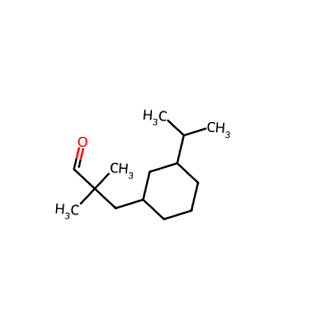 CC(C)C1CCCC(CC(C)(C)C=O)C1